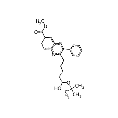 COC(=O)C1C=c2nc(-c3ccccc3)c(CCCCC(O)OC(C)(C)C)nc2=CC1